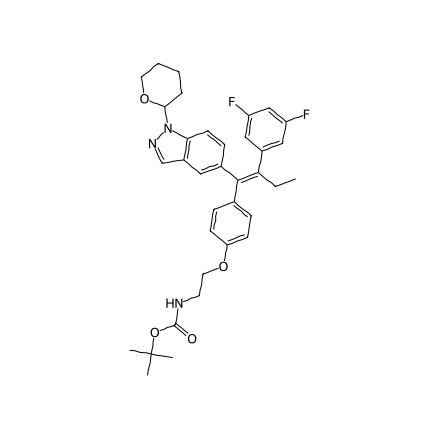 CCC(=C(c1ccc(OCCNC(=O)OC(C)(C)C)cc1)c1ccc2c(cnn2C2CCCCO2)c1)c1cc(F)cc(F)c1